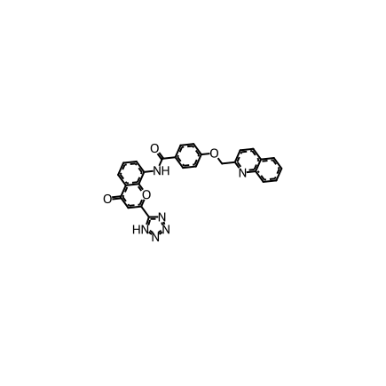 O=C(Nc1cccc2c(=O)cc(-c3nnn[nH]3)oc12)c1ccc(OCc2ccc3ccccc3n2)cc1